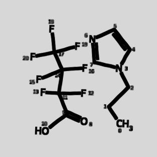 CCCn1ccnc1.O=C(O)C(F)(F)C(F)(F)C(F)(F)F